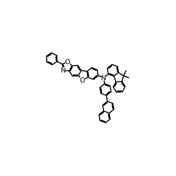 CC1(C)c2ccccc2-c2c(N(c3ccc(-c4ccc5ccccc5c4)cc3)c3ccc4c(c3)oc3cc5nc(-c6ccccc6)oc5cc34)cccc21